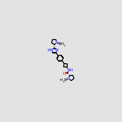 BN1CCC[C@H]1C(=O)NC1CC(c2ccc(-c3c[nH]c([C@@H]4CCCN4B)n3)cc2)C1